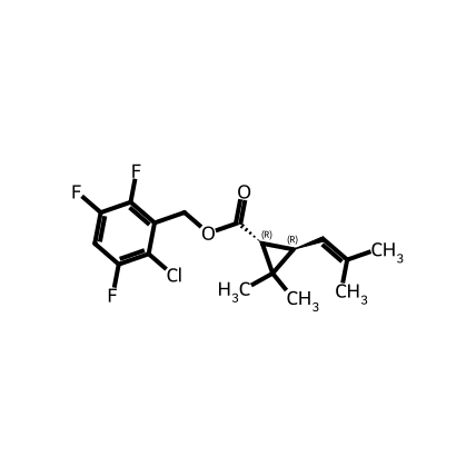 CC(C)=C[C@@H]1[C@@H](C(=O)OCc2c(F)c(F)cc(F)c2Cl)C1(C)C